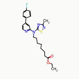 CCOC(=O)CCCCCCCN(c1cc(-c2ccc(F)cc2)ccn1)c1nc(C)ns1